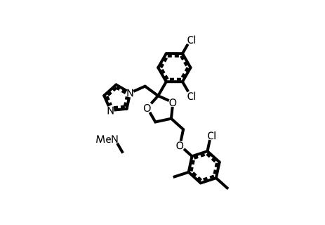 CNC.Cc1cc(C)c(OCC2COC(Cn3ccnc3)(c3ccc(Cl)cc3Cl)O2)c(Cl)c1